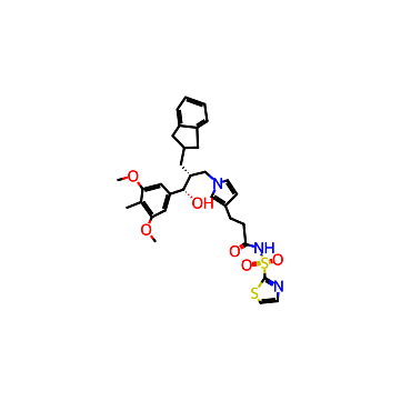 COc1cc([C@@H](O)[C@H](CC2Cc3ccccc3C2)Cn2ccc(CCC(=O)NS(=O)(=O)c3nccs3)c2)cc(OC)c1C